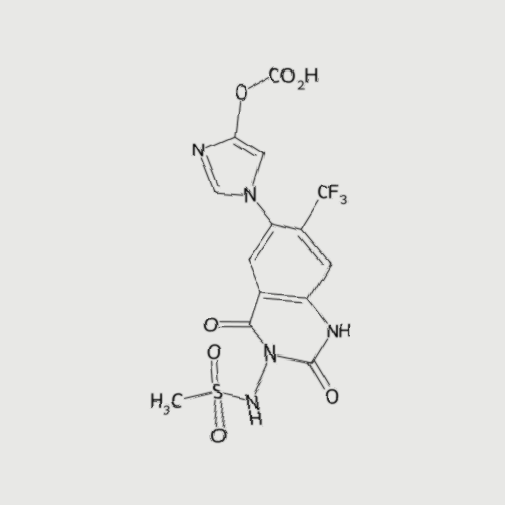 CS(=O)(=O)Nn1c(=O)[nH]c2cc(C(F)(F)F)c(-n3cnc(OC(=O)O)c3)cc2c1=O